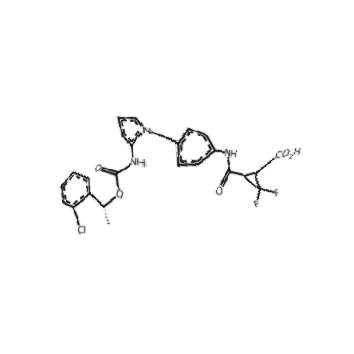 C[C@@H](OC(=O)Nc1cccn1-c1ccc(NC(=O)C2C(C(=O)O)C2(F)F)cc1)c1ccccc1Cl